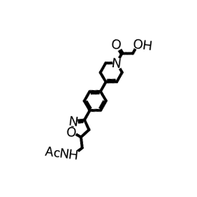 CC(=O)NCC1CC(c2ccc(C3=CCN(C(=O)CO)CC3)cc2)=NO1